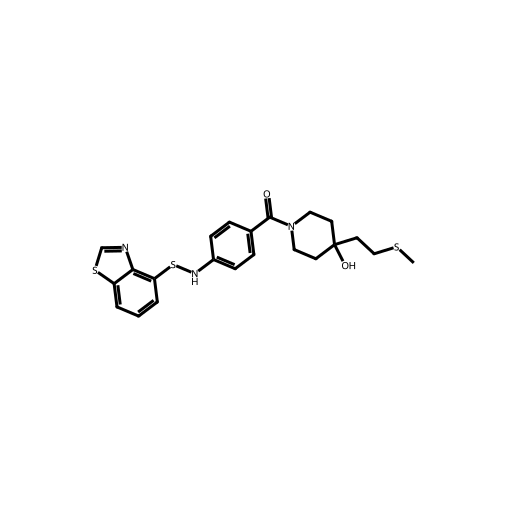 CSCCC1(O)CCN(C(=O)c2ccc(NSc3cccc4scnc34)cc2)CC1